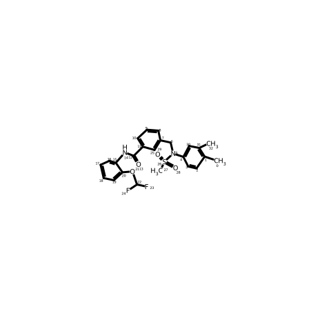 Cc1ccc(N(Cc2cccc(C(=O)Nc3ccccc3OC(F)F)c2)S(C)(=O)=O)cc1C